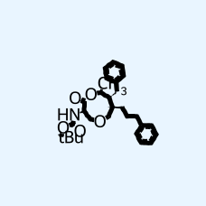 C[C@@H]1OC(=O)[C@@H](NC(=O)OC(C)(C)C)COC[C@H](CCCc2ccccc2)[C@H]1Cc1ccccc1